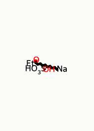 CCC(=O)CCCCCCCC[CH2][Na].O=S(=O)(O)O